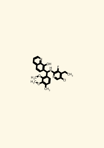 CCc1c(Cl)cnc(NC(c2ccc(C)c(OC)c2OC)c2ccc3cccnc3c2O)c1F